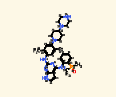 CCc1cc(Nc2nc(Nc3ccccc3P(C)(C)=O)c3cc[nH]c3n2)c(C(F)(F)F)cc1N1CCC(N2CCNCC2)CC1